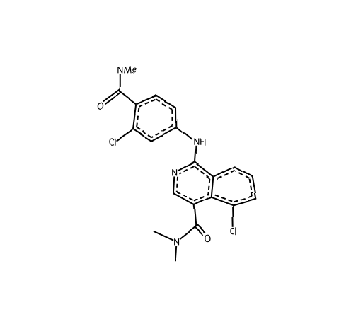 CNC(=O)c1ccc(Nc2ncc(C(=O)N(C)C)c3c(Cl)cccc23)cc1Cl